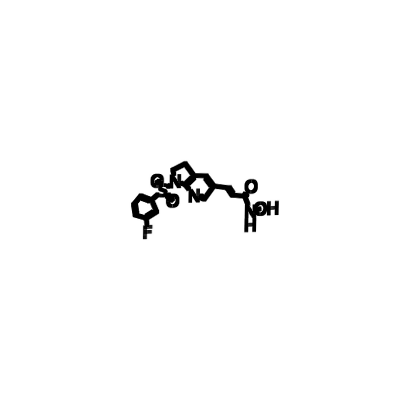 O=C(/C=C/c1cnc2c(c1)CCN2S(=O)(=O)c1cccc(F)c1)NO